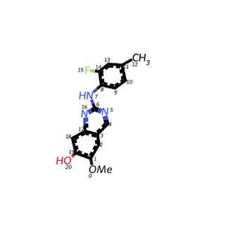 COc1cc2cnc(Nc3ccc(C)cc3F)nc2cc1O